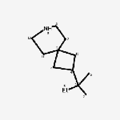 CCC(C)(C)C1CC2(CCNCC2)C1